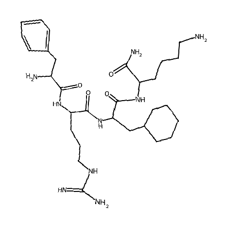 N=C(N)NCCCC(NC(=O)C(N)Cc1ccccc1)C(=O)NC(CC1CCCCC1)C(=O)NC(CCCCN)C(N)=O